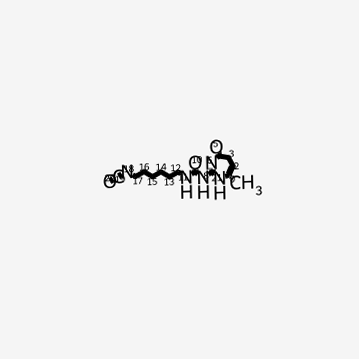 CC1=CCC(=O)N=C(NC(=O)NCCCCCCN=C=O)N1